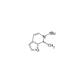 C=C1c2occc2C=CN1C(C)(C)C